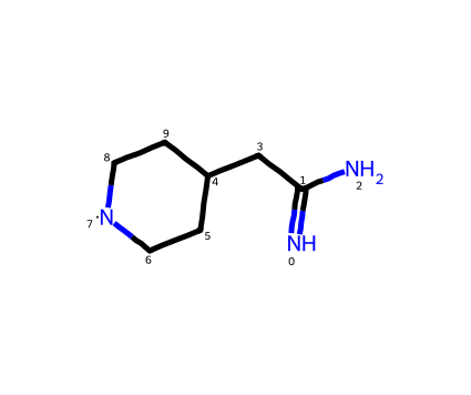 N=C(N)CC1CC[N]CC1